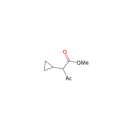 COC(=O)C(C(C)=O)C1CC1